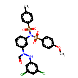 COc1ccc(S(=O)(=O)N(c2cccc(N(C=O)Nc3cc(Cl)cc(Cl)c3)c2)S(=O)(=O)c2ccc(C)cc2)cc1